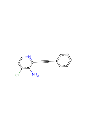 Nc1c(Cl)ccnc1C#Cc1ccccc1